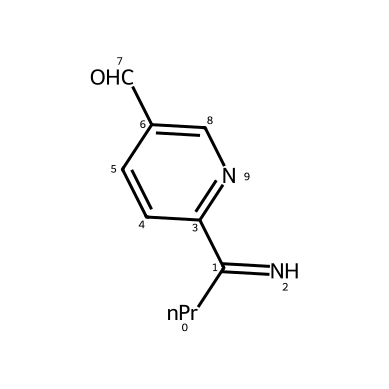 CCCC(=N)c1ccc(C=O)cn1